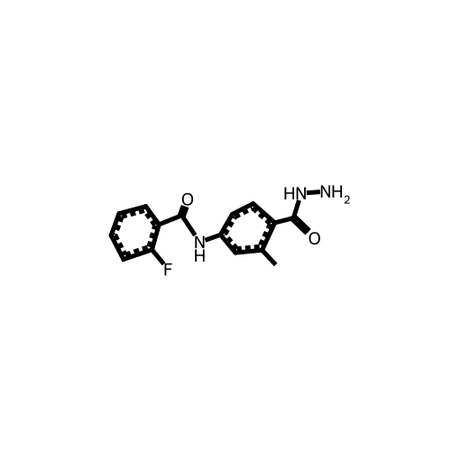 Cc1cc(NC(=O)c2ccccc2F)ccc1C(=O)NN